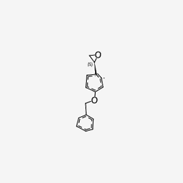 [c]1cc(OCc2ccccc2)ccc1[C@H]1CO1